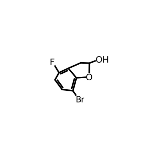 OC1Cc2c(F)ccc(Br)c2O1